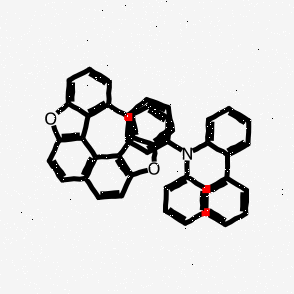 c1ccc(-c2ccccc2N(c2ccccc2)c2ccc(-c3cccc4oc5ccc6ccc7oc8ccccc8c7c6c5c34)cc2)cc1